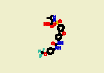 CC(C)[C@@H](NS(=O)(=O)c1ccc2oc3cc(NC(=O)Nc4ccc(OC(F)(F)F)cc4)ccc3c2c1)C(=O)O